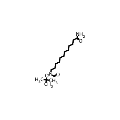 CC(C)(C)ON(C=O)CCCCCCCCCCCC(N)=O